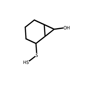 OC1C2CCCC(SS)C12